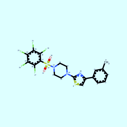 Cc1cccc(-c2csc(N3CCN(S(=O)(=O)c4c(F)c(F)c(F)c(F)c4F)CC3)n2)c1